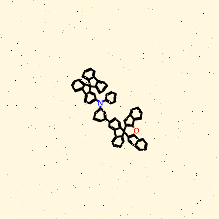 c1ccc(N(c2cccc(-c3ccc4c(c3)-c3ccccc3C43c4ccc5ccccc5c4Oc4c3ccc3ccccc43)c2)c2ccc3c(c2)C2(c4ccccc4-c4ccccc42)c2ccccc2-3)cc1